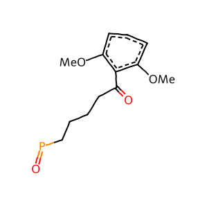 COc1cccc(OC)c1C(=O)CCCCP=O